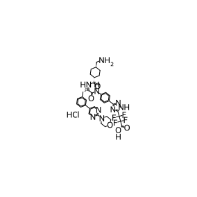 Cl.NC[C@H]1CC[C@H](C(=O)N[C@@H](Cc2cccc(-c3cnc(N4CCOCC4)nc3)c2)C(=O)Nc2ccc(-c3n[nH]c(C(F)(F)C(F)(F)C(=O)O)n3)cc2)CC1